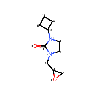 O=C1N(CC2CO2)CCN1C1CCC1